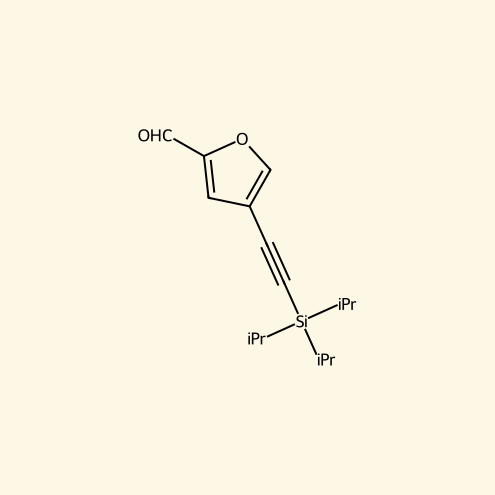 CC(C)[Si](C#Cc1coc(C=O)c1)(C(C)C)C(C)C